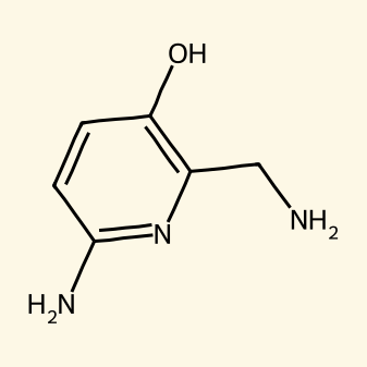 NCc1nc(N)ccc1O